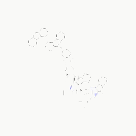 C=C/C=c1/oc2ccccc2/c1=C(/C)c1cccc2c1c(C=C)c(/C=C\C)n2C1C=C2Oc3ccc(-n4c5ccccc5c5c(-c6cccc7oc8ccccc8c67)cccc54)cc3OC2=C[C@H]1C